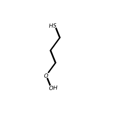 OOCCCS